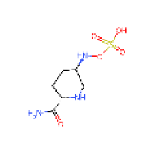 NC(=O)[C@@H]1CC[C@@H](NOS(=O)(=O)O)CN1